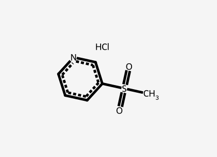 CS(=O)(=O)c1cccnc1.Cl